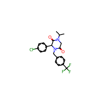 CC(C)N1CC(=O)N(Cc2ccc(C(F)(F)F)cc2)C(c2ccc(Cl)cc2)C1=O